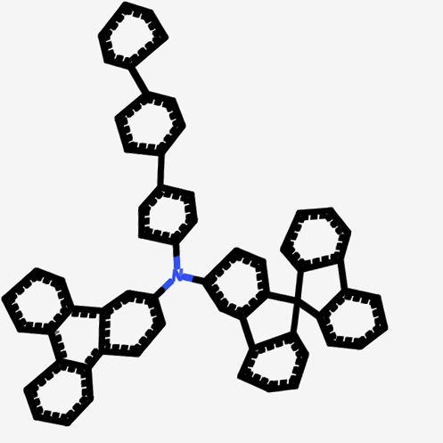 c1ccc(-c2ccc(-c3ccc(N(c4ccc5c(c4)-c4ccccc4C54c5ccccc5-c5ccccc54)c4ccc5c6ccccc6c6ccccc6c5c4)cc3)cc2)cc1